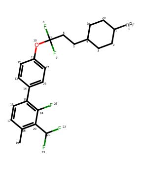 CCCC1CCC(CCC(F)(F)Oc2ccc(-c3ccc(C)c(C(F)F)c3F)cc2)CC1